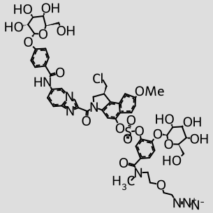 COc1ccc2c(OS(=O)(=O)Oc3cc(C(=O)N(C)CCOCCN=[N+]=[N-])ccc3O[C@@H]3O[C@H](CO)[C@H](O)[C@H](O)[C@@H]3O)cc3c(c2c1)[C@H](CCl)CN3C(=O)c1cn2cc(NC(=O)c3ccc(O[C@@H]4O[C@H](CO)[C@H](O)[C@H](O)[C@H]4O)cc3)ccc2n1